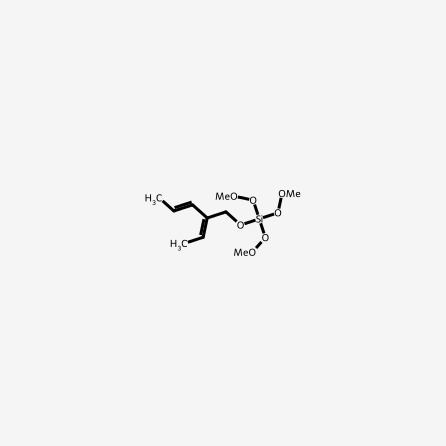 CC=CC(=CC)CO[Si](OOC)(OOC)OOC